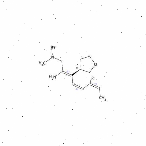 C\C=C(/C=C\C(=C(/N)CN(C)C(C)C)[C@H]1CCOC1)C(C)C